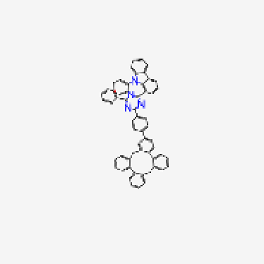 c1ccc(-c2nc(-c3ccc(-c4ccc5c(c4)Cc4ccccc4-c4ccccc4Cc4ccccc4-5)cc3)nc(-c3cccc4c5ccccc5n(-c5ccccc5)c34)n2)cc1